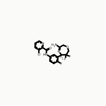 C[C@]1(c2cc(NC(=O)c3ncccc3Cl)ccc2F)N=C(N)COCC1(F)F